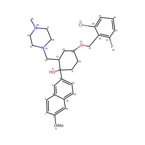 COc1ccc2cc(C3(O)CCC(OCc4c(F)cccc4Cl)CC3CN3CCN(C)CC3)ccc2c1